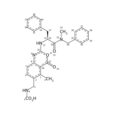 Cc1c(CNC(=O)O)ccc2nc(N[C@@H](Cc3ccccc3)C(=O)N(C)Cc3ccccc3)oc(=O)c12